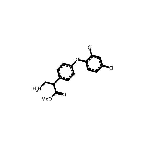 COC(=O)C(CN)c1ccc(Oc2ccc(Cl)cc2Cl)cc1